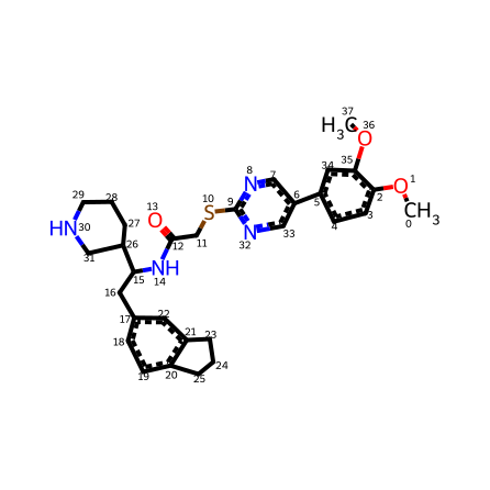 COc1ccc(-c2cnc(SCC(=O)NC(Cc3ccc4c(c3)CCC4)C3CCCNC3)nc2)cc1OC